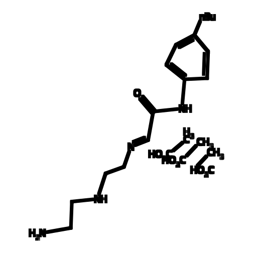 CC(=O)O.CC(=O)O.CC(=O)O.CCCCc1ccc(NC(=O)C=NCCNCCN)cc1